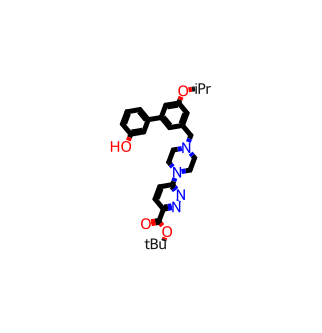 CC(C)Oc1cc(CN2CCN(c3ccc(C(=O)OC(C)(C)C)nn3)CC2)cc(-c2cccc(O)c2)c1